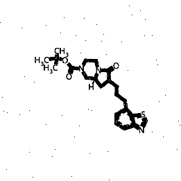 CC(C)(C)OC(=O)N1CCN2C(=O)C(CCCc3cccc4ncsc34)C[C@H]2C1